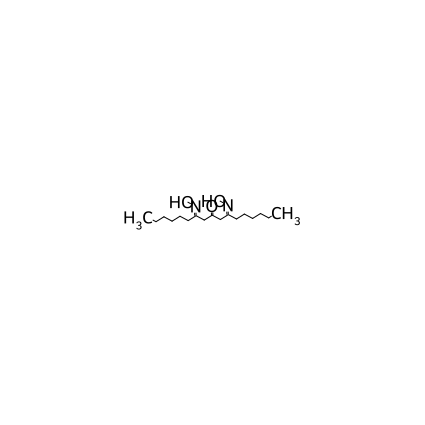 CCCCCCC(CC(=O)CC(CCCCCC)=NO)=NO